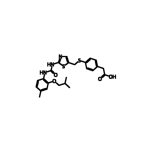 Cc1ccc(NC(=O)Nc2ncc(CSc3ccc(CC(=O)O)cc3)s2)c(OCC(C)C)c1